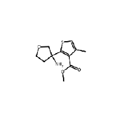 COC(=O)c1c(C)csc1C1(N)CCOC1